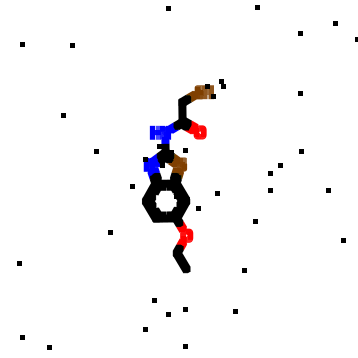 CCOc1ccc2nc(NC(=O)CS)sc2c1